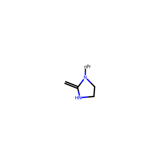 C=C1NCCN1CCC